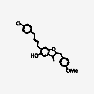 COc1ccc(CC2Oc3cc(CC=CCc4ccc(Cl)cc4)c(O)cc3C2C)cc1